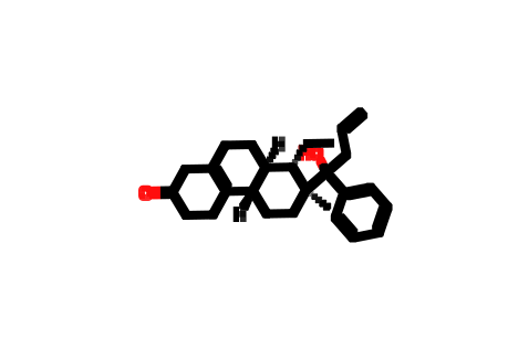 C=CCC(O)(c1ccccc1)[C@@]1(C)CC[C@@H]2C3=C(CC[C@H]2[C@@H]1CC)CC(=O)CC3